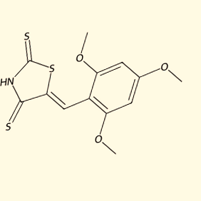 COc1cc(OC)c(/C=C2\SC(=S)NC2=S)c(OC)c1